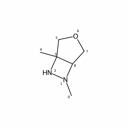 CN1NC2(C)COCC12